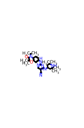 CC(C)N1C(=O)C(C)(C)Oc2cc(Nc3ncc(C#N)c(NC4CC(C)(C)NC(C)(C)C4)n3)ccc21